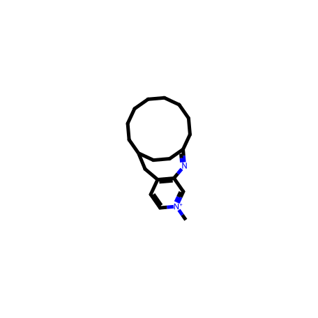 C[n+]1ccc2c(c1)/N=C1/CCCCCCCCC(CC1)C2